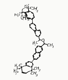 CC(OC(C)c1ccc2cc(-c3ccc4c(c3)C(C)(C)CCC4(C)C)ccc2c1)c1ccc2cc(-c3ccc4c(c3)C(C)(C)CCC4(C)C)ccc2c1